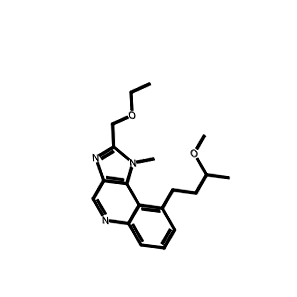 CCOCc1nc2cnc3cccc(CCC(C)OC)c3c2n1C